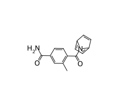 Cc1cc(C(N)=O)ccc1C(=O)n1c2ccc1cc2